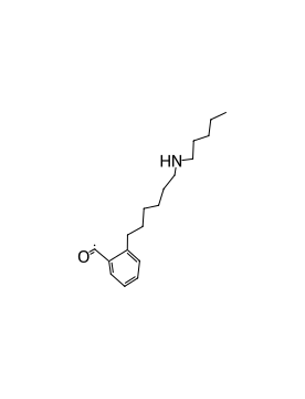 CCCCCNCCCCCCc1ccccc1[C]=O